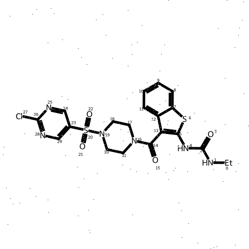 CCNC(=O)Nc1sc2ccccc2c1C(=O)N1CCN(S(=O)(=O)c2cnc(Cl)nc2)CC1